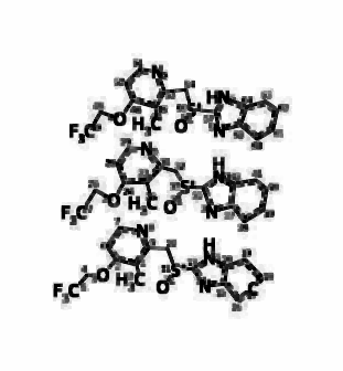 Cc1c(OCC(F)(F)F)ccnc1C[S+]([O-])c1nc2ccccc2[nH]1.Cc1c(OCC(F)(F)F)ccnc1C[S+]([O-])c1nc2ccccc2[nH]1.Cc1c(OCC(F)(F)F)ccnc1C[S+]([O-])c1nc2ccccc2[nH]1